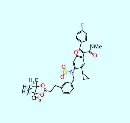 CNC(=O)c1c(-c2ccc(F)cc2)oc2cc(N(Cc3cccc(CCB4OC(C)(C)C(C)(C)O4)c3)[SH](=O)=O)c(C3CC3)cc12